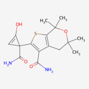 CC1(C)Cc2c(sc(C3(C(N)=O)C=C3O)c2C(N)=O)C(C)(C)O1